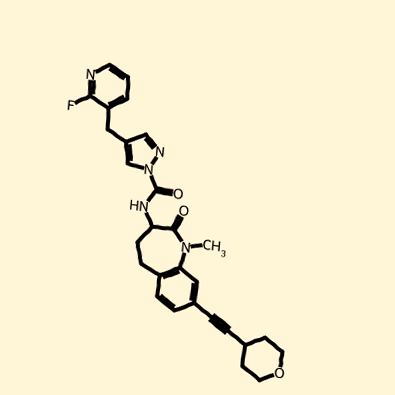 CN1C(=O)C(NC(=O)n2cc(Cc3cccnc3F)cn2)CCc2ccc(C#CC3CCOCC3)cc21